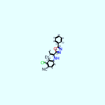 CC=C(Nc1ccc(C#N)c(Cl)c1CC)c1nnc(-c2ccccc2)o1